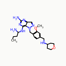 CCCC(N)Nc1nc(N)nc2cnn(Cc3ccc(CNC4CCOCC4)cc3OC)c12